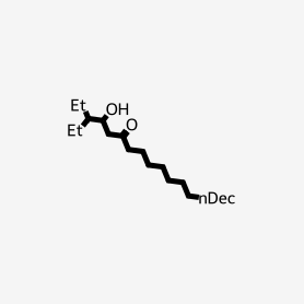 CCCCCCCCCCCCCCCCCC(=O)CC(O)[C](CC)CC